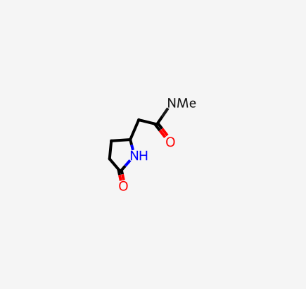 CNC(=O)CC1CCC(=O)N1